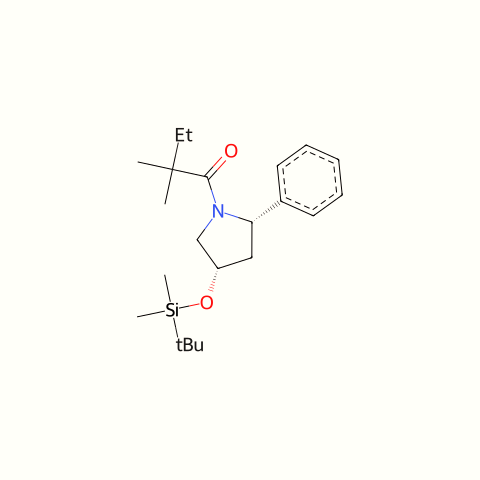 CCC(C)(C)C(=O)N1C[C@@H](O[Si](C)(C)C(C)(C)C)C[C@H]1c1ccccc1